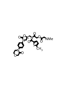 CNCC(=O)OCC(=O)N(C[C@H]1CN(c2ccc(N3CCOCC3=O)cc2)C(=O)O1)C(=O)c1ccc(C)s1